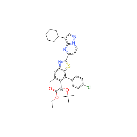 CCOC(=O)[C@@H](OC(C)(C)C)c1c(C)cc2nc(-c3ccn4ncc(C5CCCCC5)c4n3)sc2c1-c1ccc(Cl)cc1